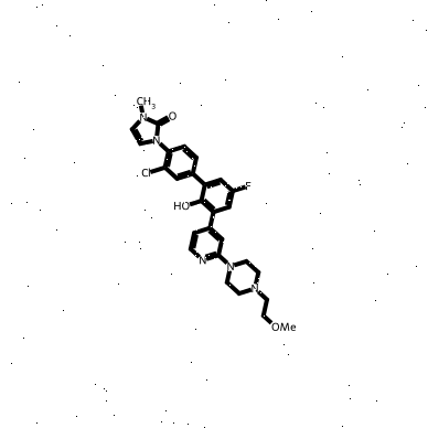 COCCN1CCN(c2cc(-c3cc(F)cc(-c4ccc(-n5ccn(C)c5=O)c(Cl)c4)c3O)ccn2)CC1